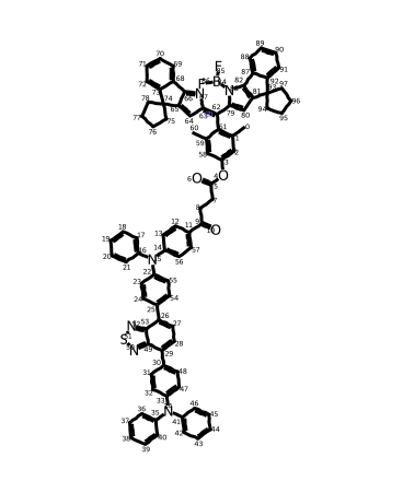 Cc1cc(OC(=O)CCC(=O)c2ccc(N(c3ccccc3)c3ccc(-c4ccc(-c5ccc(N(c6ccccc6)c6ccccc6)cc5)c5nsnc45)cc3)cc2)cc(C)c1/C(=C1\C=C2C(=N1)c1ccccc1C21CCCC1)c1cc2c(n1B(F)F)-c1ccccc1C21CCCC1